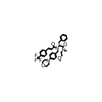 COCCN(C)C(=O)[C@H](Cc1ccccc1)N(Cc1ccc(N2CCOCC2)cc1)C(=O)C=Cc1ccc(C(F)(F)F)cc1